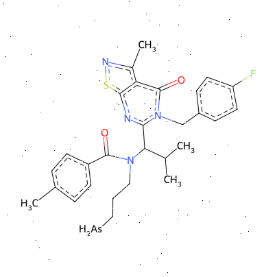 Cc1ccc(C(=O)N(CCC[AsH2])C(c2nc3snc(C)c3c(=O)n2Cc2ccc(F)cc2)C(C)C)cc1